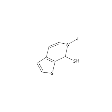 SC1c2sccc2C=CN1I